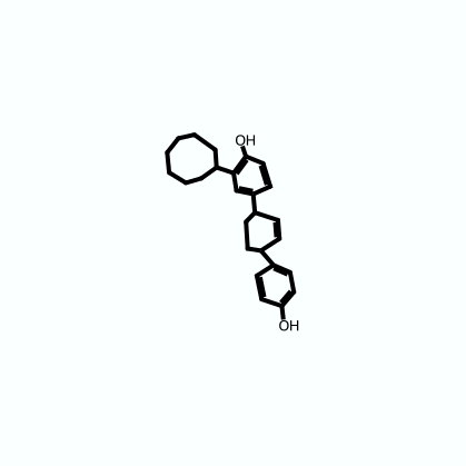 Oc1ccc(C2C=CC(c3ccc(O)c(C4CCCCCCC4)c3)CC2)cc1